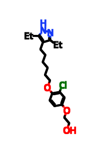 CCc1n[nH]c(CC)c1CCCCCCOc1ccc(OCCO)cc1Cl